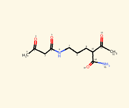 CC(=O)CC(=O)NCCCC(C(C)=O)C(N)=O